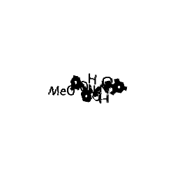 COc1cccc(Oc2ccccc2NC(=O)CNC(=O)c2c(C)cc(C)cc2C)c1